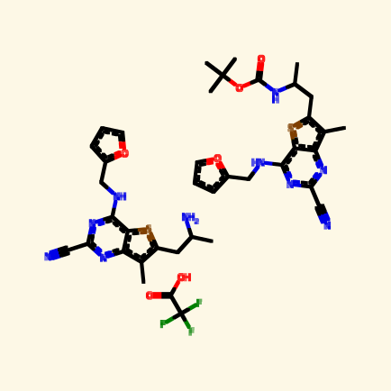 Cc1c(CC(C)N)sc2c(NCc3ccco3)nc(C#N)nc12.Cc1c(CC(C)NC(=O)OC(C)(C)C)sc2c(NCc3ccco3)nc(C#N)nc12.O=C(O)C(F)(F)F